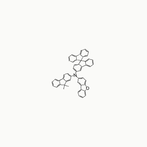 CC1(C)c2ccccc2-c2ccc(N(c3ccc4c(c3)-c3ccccc3C43c4ccccc4-c4ccccc43)c3ccc4oc5ccccc5c4c3)cc21